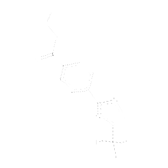 CCSCC(=O)c1ccc(-c2noc(C(F)(F)Cl)n2)cc1